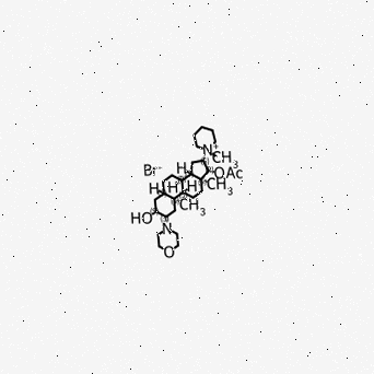 CC(=O)O[C@H]1[C@@H]([N+]2(C)CCCCC2)C[C@H]2[C@@H]3CC[C@H]4C[C@H](O)[C@@H](N5CCOCC5)C[C@]4(C)[C@H]3CC[C@@]21C.[Br-]